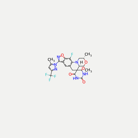 Cc1cc(C(F)(F)F)nn1-c1noc2c(F)c3c(cc12)CC1(C(=O)NC(=O)NC1=O)[C@@H]1[C@@H](C)O[C@@H](C)CN31